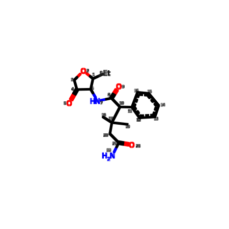 CCC1OCC(=O)C1NC(=O)C(c1ccccc1)C(C)(C)CC(N)=O